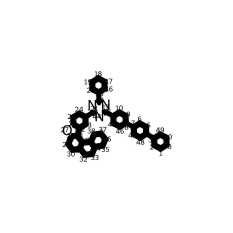 c1ccc(-c2ccc(-c3ccc(-c4nc(-c5ccccc5)nc(-c5ccc6oc7ccc8ccc9ccccc9c8c7c6c5)n4)cc3)cc2)cc1